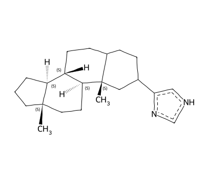 C[C@@]12CCC[C@H]1[C@@H]1CCC3CCC(c4c[nH]cn4)C[C@]3(C)[C@H]1CC2